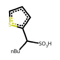 CCCCC(c1cccs1)S(=O)(=O)O